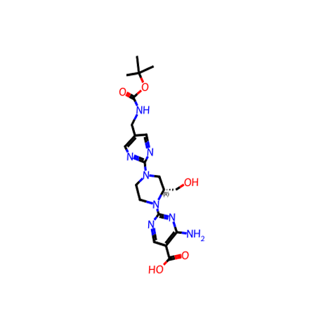 CC(C)(C)OC(=O)NCc1cnc(N2CCN(c3ncc(C(=O)O)c(N)n3)[C@@H](CO)C2)nc1